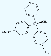 COc1ccc([C@](C)(c2ccncc2)c2ccc(C)cc2)cc1